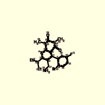 CCN(CC)c1nc2c(c(-c3cc(F)ccc3Br)c1CN)c(=O)n(C)c(=O)n2C